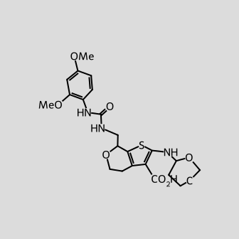 COc1ccc(NC(=O)NCC2OCCc3c2sc(NC2CCCCO2)c3C(=O)O)c(OC)c1